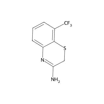 NC1=Nc2cccc(C(F)(F)F)c2SC1